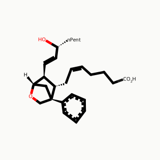 CCCCC[C@@H](O)/C=C/[C@@H]1[C@@H]2C[C@@](c3ccccc3)(CO2)[C@H]1C/C=C\CCCC(=O)O